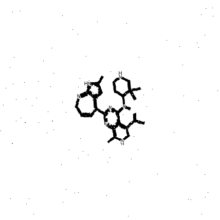 CC1=c2nc(C3=c4cc(C)[nH]c4=NCC=C3)nc(N(C)C3CCNCC3(C)C)c2=C(C(C)C)CN1